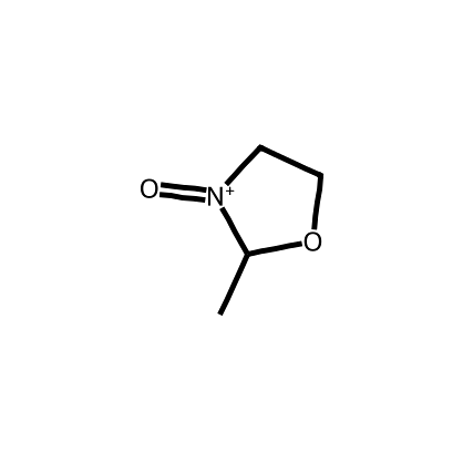 CC1OCC[N+]1=O